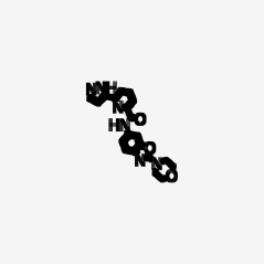 O=C(Nc1ccc2nc(N3CCOCC3)oc2c1)c1cccc(-c2ccn[nH]2)n1